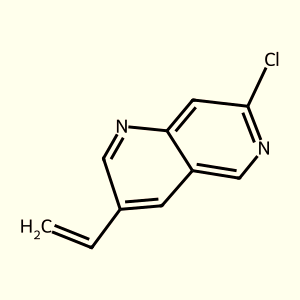 C=Cc1cnc2cc(Cl)ncc2c1